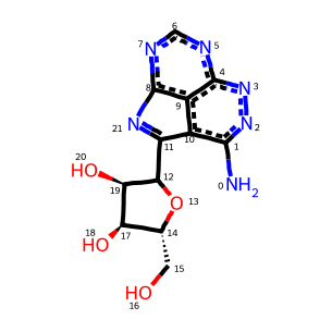 Nc1nnc2ncnc3c2c1C(C1O[C@H](CO)[C@@H](O)[C@H]1O)=N3